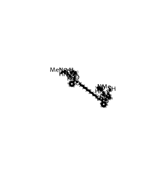 CN[C@@H](C)C(=O)N[C@]1(C)CS[C@H]2CC(C)(C)[C@@H](C(=O)N[C@H](COCCCCCCCCCCCCOC[C@@H](NC(=O)[C@H]3N(C(=O)CNC(=O)C(C)(C)NC)[C@@H](SCS)CC3(C)C)c3ccccc3)c3ccccc3)N2C1=O